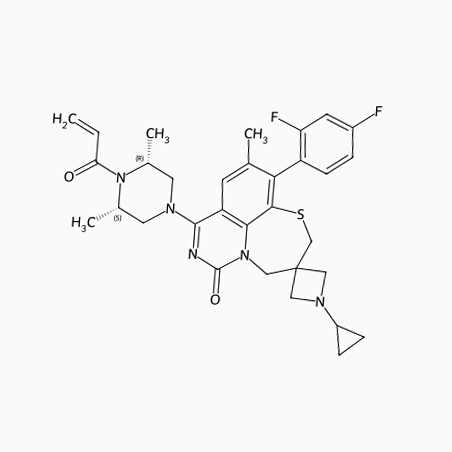 C=CC(=O)N1[C@H](C)CN(c2nc(=O)n3c4c(c(-c5ccc(F)cc5F)c(C)cc24)SCC2(CN(C4CC4)C2)C3)C[C@@H]1C